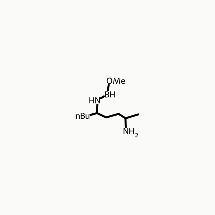 CCCCC(CCC(C)N)NBOC